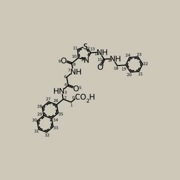 O=C(O)CC(NC(=O)CNC(=O)c1csc(NC(=O)NCc2ccccc2)n1)c1ccc2ccccc2c1